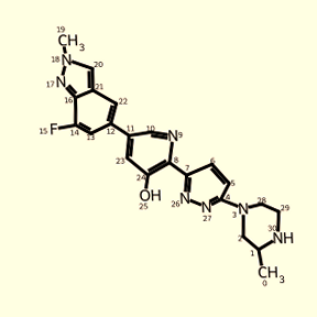 CC1CN(c2ccc(-c3ncc(-c4cc(F)c5nn(C)cc5c4)cc3O)nn2)CCN1